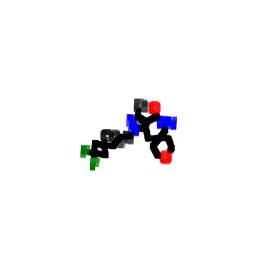 CCc1nn(CCCC2(C(=O)O)CC(F)(F)C2)c2c1C(=O)NCC1(CCOCC1)C2